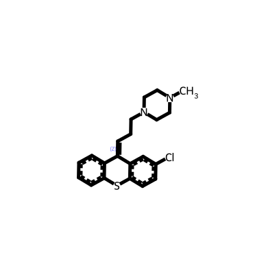 CN1CCN(CC/C=C2/c3ccccc3Sc3ccc(Cl)cc32)CC1